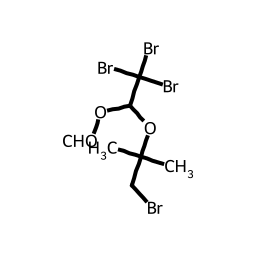 CC(C)(CBr)OC(OC=O)C(Br)(Br)Br